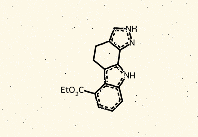 CCOC(=O)c1cccc2[nH]c3c(c12)CCc1c[nH]nc1-3